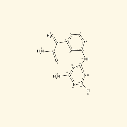 C=C(C(N)=O)c1cccc(Nc2nc(N)nc(Cl)n2)c1